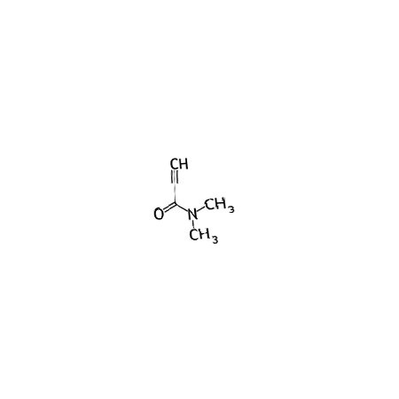 C#CC(=O)N(C)C